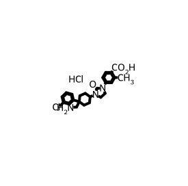 Cc1cc(N2CCN(C3CCC(CN)(c4cccc(Cl)c4)CC3)C2=O)ccc1C(=O)O.Cl